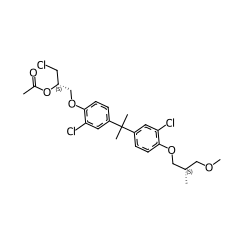 COC[C@H](C)COc1ccc(C(C)(C)c2ccc(OC[C@@H](CCl)OC(C)=O)c(Cl)c2)cc1Cl